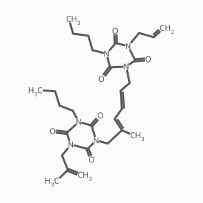 C=CCn1c(=O)n(C/C=C/C=C(\C)Cn2c(=O)n(CCCC)c(=O)n(CC(=C)C)c2=O)c(=O)n(CCCC)c1=O